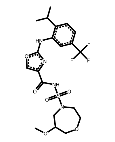 COC1COCCN(S(=O)(=O)NC(=O)c2coc(Nc3cc(C(F)(F)F)ccc3C(C)C)n2)C1